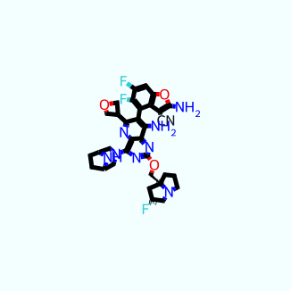 N#Cc1c(N)oc2cc(F)c(F)c(-c3c(C4COC4)nc4c(N5CC6CCC(C5)N6)nc(OC[C@@]56CCCN5C[C@H](F)C6)nc4c3N)c12